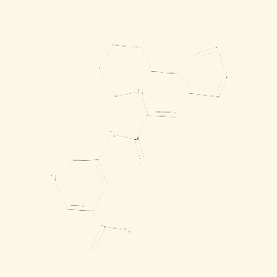 C=C(N)c1cncc(NC(=O)C(=C)N2CCC(C)CC2c2ccccc2)c1